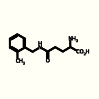 Cc1ccccc1CNC(=O)CCC(N)C(=O)O